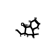 CCC1CC(C)(C)C2CC=CCC2C1=O